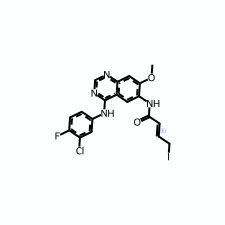 COc1cc2ncnc(Nc3ccc(F)c(Cl)c3)c2cc1NC(=O)/C=C/CI